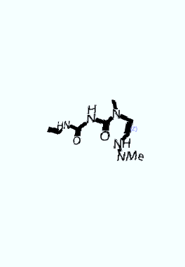 C=CNC(=O)NC(=O)N(C)/C=C\NNC